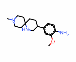 COc1cc(C2CCC3(CCN(C)CC3)NC2)ccc1N